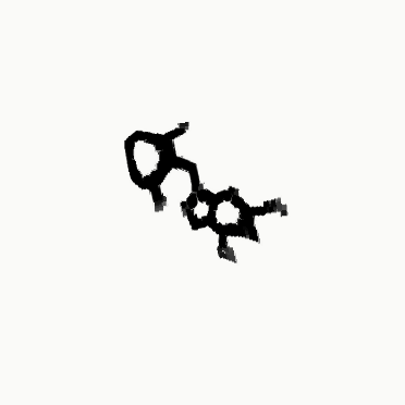 Nc1nc(Cl)c2cnn(Cc3c(F)cccc3F)c2n1